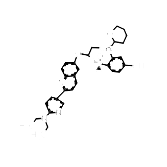 CCC(Oc1ccc2nc(-c3ccc(N(CC)CC)nc3)ccc2c1)OS(=O)(=O)c1ccc(C)cc1OC1CCCCO1